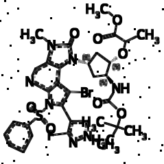 COC(=O)C(C)O[C@H]1C[C@@H](n2c(=O)n(C)c3cnc4c(c(Br)c(-c5cn(C)nc5F)n4S(=O)(=O)c4ccccc4)c32)C[C@@H]1NC(=O)OC(C)(C)C